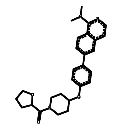 CN(C)c1nccc2cc(-c3ccc(OC4CCN(C(=O)C5CCCO5)CC4)cc3)ccc12